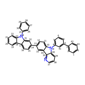 c1ccc(-c2cccc(-n3c4ccc(-c5ccc6c7ccccc7n(-c7ccccc7)c6c5)cc4c4ncccc43)c2)cc1